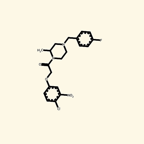 CC1CN(Cc2ccc(F)cc2)CCN1C(=O)COc1ccc(Cl)c([N+](=O)[O-])c1